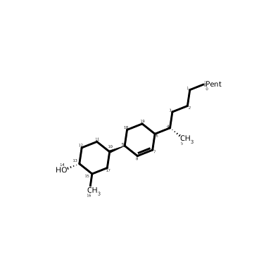 CCCC(C)CCC[C@H](C)C1C=C[C@@H](C2CC[C@@H](O)C(C)C2)CC1